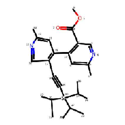 COC(=O)c1cnc(C)cc1-c1cc(C)ncc1C#C[Si](C(C)C)(C(C)C)C(C)C